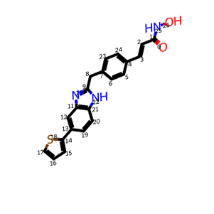 O=C(/C=C/c1ccc(Cc2nc3cc(-c4cccs4)ccc3[nH]2)cc1)NO